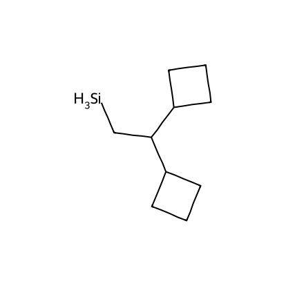 [SiH3]CC(C1CCC1)C1CCC1